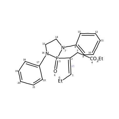 CC/C=C(/CC(=O)OCC)P1(=O)N(c2ccccc2)CCN1c1ccccc1